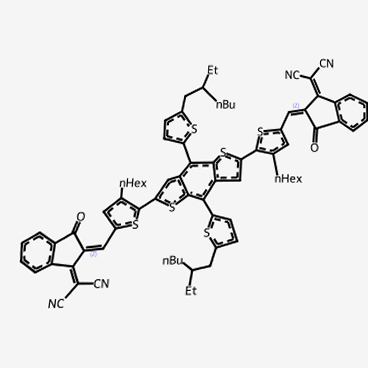 CCCCCCc1cc(/C=C2\C(=O)c3ccccc3C2=C(C#N)C#N)sc1-c1cc2c(-c3ccc(CC(CC)CCCC)s3)c3sc(-c4sc(/C=C5\C(=O)c6ccccc6C5=C(C#N)C#N)cc4CCCCCC)cc3c(-c3ccc(CC(CC)CCCC)s3)c2s1